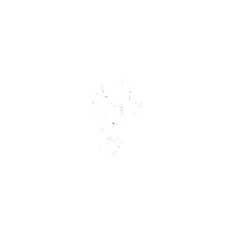 Cl.NC1CCS[C@H]2CCCC(C(=O)Nc3nccs3)N2C1=O